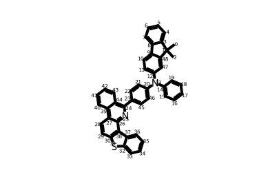 CC1(C)c2ccccc2-c2ccc(N(c3ccccc3)c3ccc(-c4nc5c(ccc6sc7ccccc7c65)c5ccccc45)cc3)cc21